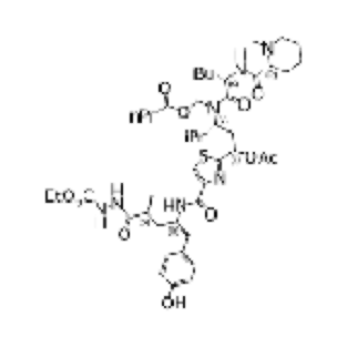 CCCC(=O)OCN(C(=O)[C@@H](NC(=O)[C@H]1CCCCN1C)C(C)CC)[C@H](C[C@@H](OC(C)=O)c1nc(C(=O)N[C@@H](Cc2ccc(O)cc2)C[C@H](C)C(=O)NNC(=O)OCC)cs1)C(C)C